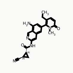 CCc1ccc(=O)n(C)c1-c1cc(N)c2cnc(NC(=O)[C@@H]3C[C@H]3C#N)cc2c1